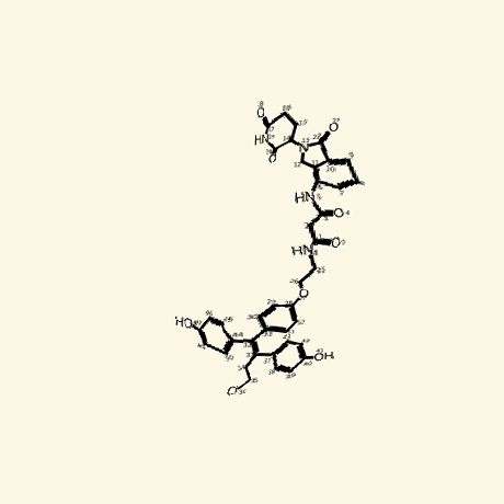 O=C(CC(=O)Nc1cccc2c1CN(C1CCC(=O)NC1=O)C2=O)NCCOc1ccc(C(=C(CCCl)c2ccc(O)cc2)c2ccc(O)cc2)cc1